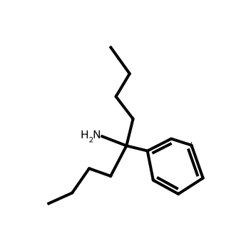 CCCCC(N)(CCCC)c1c[c]ccc1